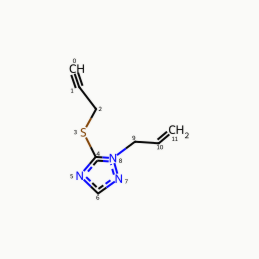 C#CCSc1ncnn1CC=C